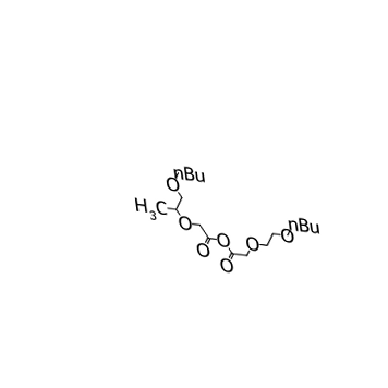 CCCCOCCOCC(=O)OC(=O)COC(C)COCCCC